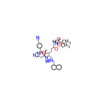 CC(CCC(=O)CN(C=O)OC(C)(C)C)C(CNCc1cccc2ccccc12)NC(=O)Cc1cncn1Cc1ccc(C#N)cc1